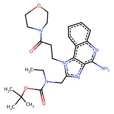 CCN(Cc1nc2c(N)nc3ccccc3c2n1CCC(=O)N1CCOCC1)C(=O)OC(C)(C)C